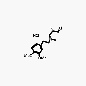 COc1ccc(CCN(C)C[C@H](C)CCl)cc1OC.Cl